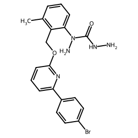 Cc1cccc(N(N)C(=O)NN)c1COc1cccc(-c2ccc(Br)cc2)n1